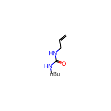 C=CCNC(=O)NCCCC